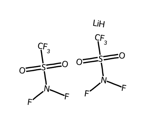 O=S(=O)(N(F)F)C(F)(F)F.O=S(=O)(N(F)F)C(F)(F)F.[LiH]